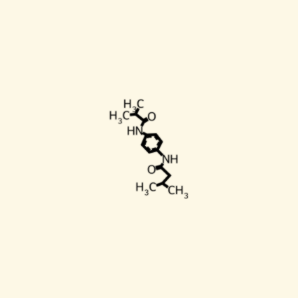 CC(C)CC(=O)Nc1ccc(NC(=O)C(C)C)cc1